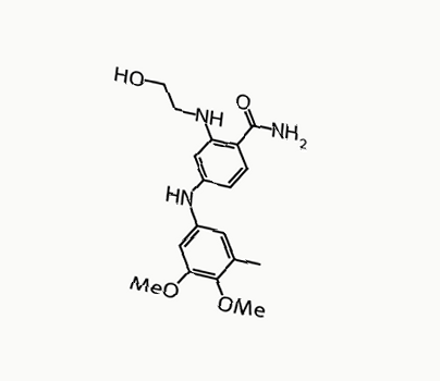 COc1cc(Nc2ccc(C(N)=O)c(NCCO)c2)cc(C)c1OC